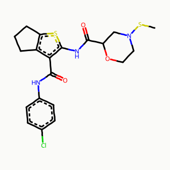 CSN1CCOC(C(=O)Nc2sc3c(c2C(=O)Nc2ccc(Cl)cc2)CCC3)C1